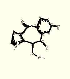 COC1c2sccc2C(=O)c2ccc(Cl)cc2C1Br